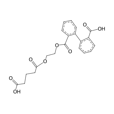 O=C(O)CCCC(=O)OCCOC(=O)c1ccccc1-c1ccccc1C(=O)O